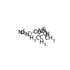 Cc1cc(-c2[nH]c3ccc(C4CCN(Cc5cncs5)CC4)cc3c2C(C)C)c(F)cn1